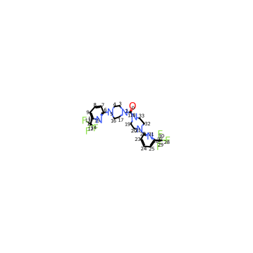 O=C(N1CCN(c2cccc(C(F)(F)F)n2)CC1)N1CCN(c2cccc(C(F)(F)F)n2)CC1